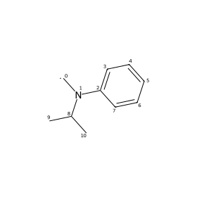 [CH2]N(c1ccccc1)C(C)C